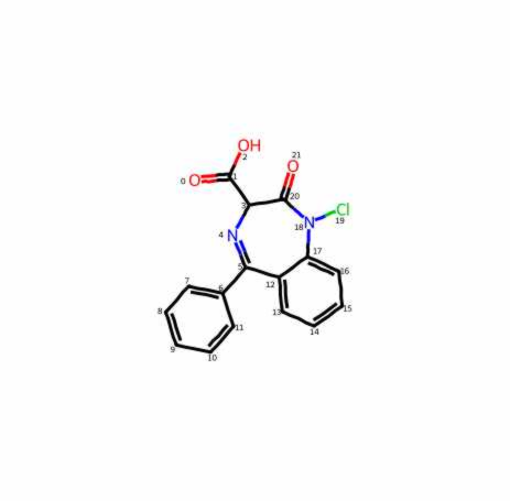 O=C(O)C1N=C(c2ccccc2)c2ccccc2N(Cl)C1=O